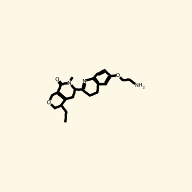 CCC1COCC2=C1CC(C1=Nc3ccc(OCCN)cc3CC1)N(C)C2=O